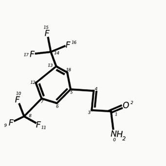 NC(=O)C=Cc1cc(C(F)(F)F)cc(C(F)(F)F)c1